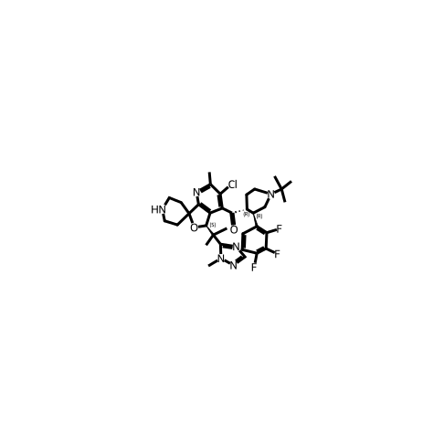 Cc1nc2c(c(C(=O)[C@@H]3CCN(C(C)(C)C)C[C@H]3c3ccc(F)c(F)c3F)c1Cl)[C@@H](C(C)(C)c1ncnn1C)OC21CCNCC1